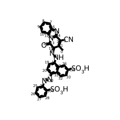 CC1=C(C#N)c2nc3ccccc3n2C(=O)/C1=N/Nc1ccc(/N=N/c2ccccc2S(=O)(=O)O)c2ccc(S(=O)(=O)O)cc12